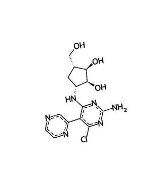 Nc1nc(Cl)c(-c2cnccn2)c(N[C@@H]2C[C@H](CO)[C@@H](O)[C@H]2O)n1